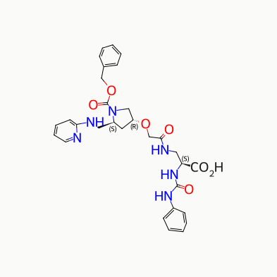 O=C(CO[C@@H]1C[C@@H](CNc2ccccn2)N(C(=O)OCc2ccccc2)C1)NC[C@H](NC(=O)Nc1ccccc1)C(=O)O